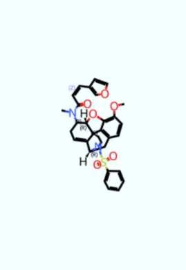 COc1ccc2c3c1O[C@H]1[C@H](N(C)C(=O)/C=C\c4ccoc4)CC=C4[C@@H](C2)N(S(=O)(=O)c2ccccc2)CC[C@]431